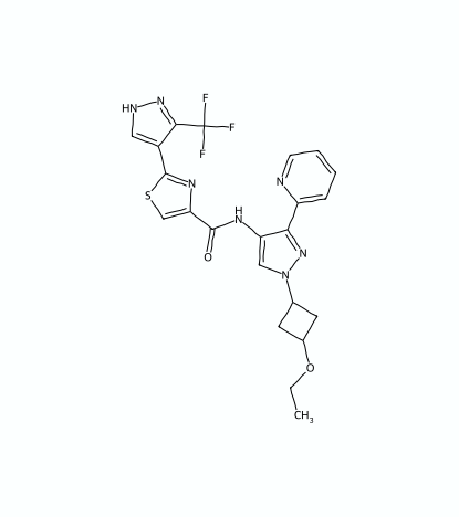 CCOC1CC(n2cc(NC(=O)c3csc(-c4c[nH]nc4C(F)(F)F)n3)c(-c3ccccn3)n2)C1